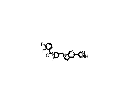 C[C@H]1CC(Cn2ccc3cc(-c4cn[nH]c4)ncc32)CN1C(=O)c1cccc(F)c1F